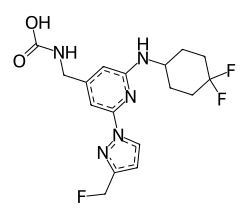 O=C(O)NCc1cc(NC2CCC(F)(F)CC2)nc(-n2ccc(CF)n2)c1